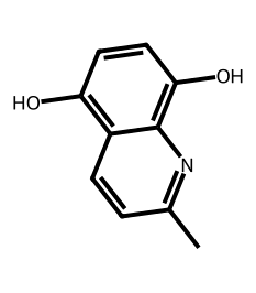 Cc1ccc2c(O)ccc(O)c2n1